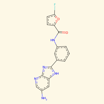 Nc1cnc2nc(-c3cccc(NC(=O)c4ccc(F)o4)c3)[nH]c2c1